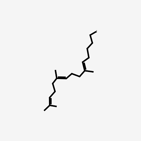 CC(C)=CCCC(C)=CCCC(C)=CCCCCI